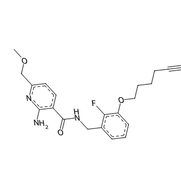 C#CCCCCOc1cccc(CNC(=O)c2ccc(COC)nc2N)c1F